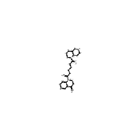 O=C1CCN(C(=O)CCCCC(=O)N2CCCC3CCCCC32)C2CCCCC12